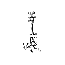 COC(=O)[C@@H](NC(=O)N1CCN(C#CC#Cc2ccc([N+](=O)[O-])cc2)CC1)C(C)(C)N